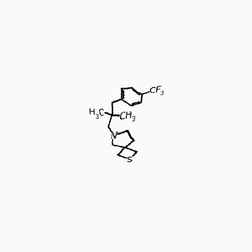 CC(C)(Cc1ccc(C(F)(F)F)cc1)CN1CCC2(CSC2)C1